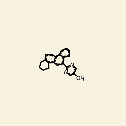 Oc1cnc(-c2cc3c4c(ccc3c3ccccc23)CCCC4)nc1